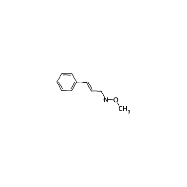 CO[N]CC=Cc1ccccc1